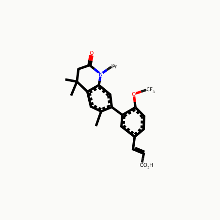 Cc1cc2c(cc1-c1cc(/C=C/C(=O)O)ccc1OC(F)(F)F)N(C(C)C)C(=O)CC2(C)C